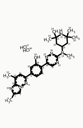 Cc1cn2nc(-c3ccc(-c4cnc(N(C)C5CC(C)(C)NC(C)(C)C5)nn4)c(O)c3)cc(C)c2n1.Cl.Cl